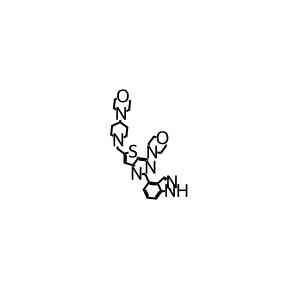 c1cc(-c2nc(N3CCOCC3)c3sc(CN4CCC(N5CCOCC5)CC4)cc3n2)c2cn[nH]c2c1